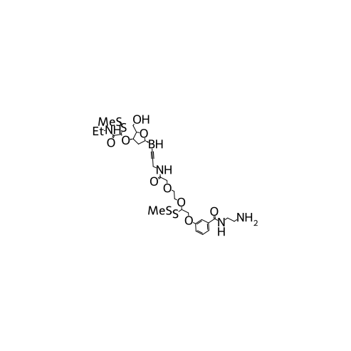 CCNC(=O)[C@H](O[C@@H]1C[C@H](BC#CCNC(=O)COCCOC(COc2cccc(C(=O)NCCN)c2)SSC)OC1CO)SSC